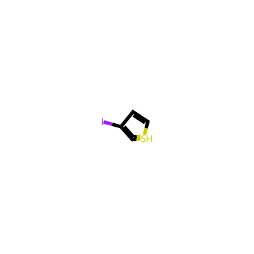 IC1=C=[SH]C=C1